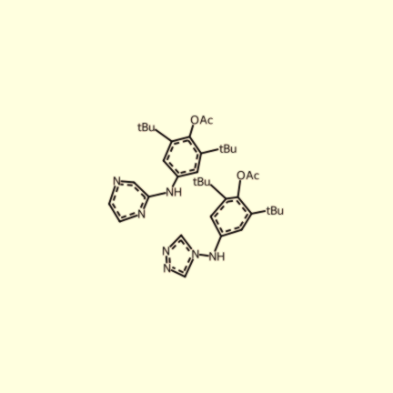 CC(=O)Oc1c(C(C)(C)C)cc(Nc2cnccn2)cc1C(C)(C)C.CC(=O)Oc1c(C(C)(C)C)cc(Nn2cnnc2)cc1C(C)(C)C